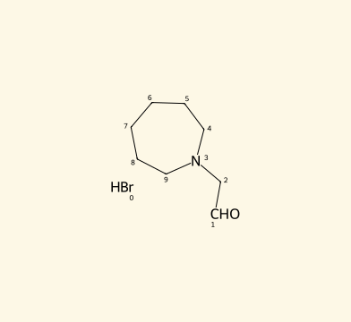 Br.O=CCN1CCCCCC1